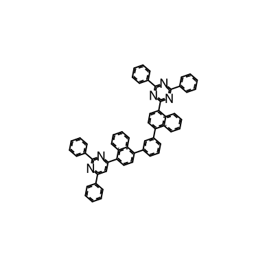 c1ccc(-c2cc(-c3ccc(-c4cccc(-c5ccc(-c6nc(-c7ccccc7)nc(-c7ccccc7)n6)c6ccccc56)c4)c4ccccc34)nc(-c3ccccc3)n2)cc1